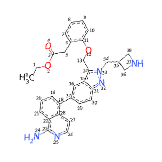 CCOC(=O)Cc1ccccc1OCc1c2cc(-c3cccc4c(N)nccc34)ccc2nn1CC1CNC1